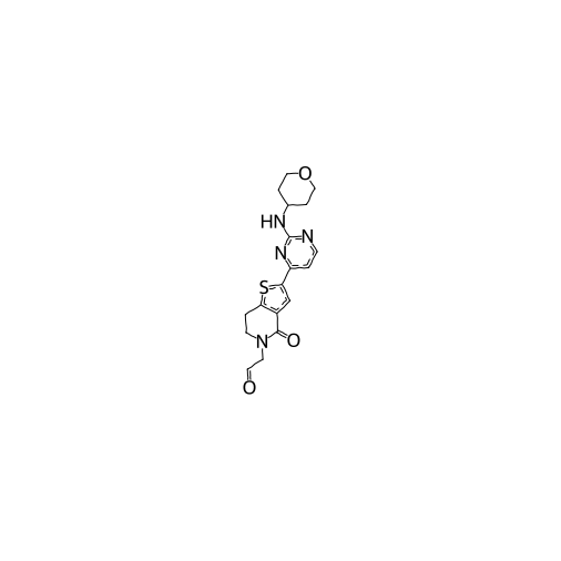 O=CCN1CCc2sc(-c3ccnc(NC4CCOCC4)n3)cc2C1=O